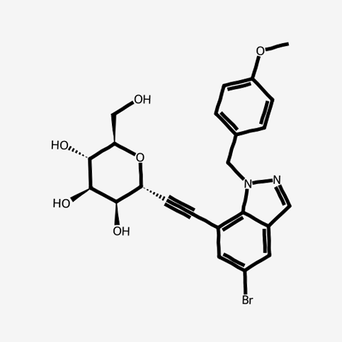 COc1ccc(Cn2ncc3cc(Br)cc(C#C[C@H]4O[C@H](CO)[C@@H](O)[C@H](O)[C@@H]4O)c32)cc1